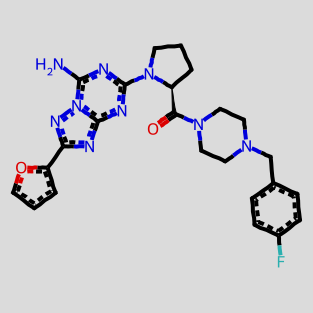 Nc1nc(N2CCC[C@H]2C(=O)N2CCN(Cc3ccc(F)cc3)CC2)nc2nc(-c3ccco3)nn12